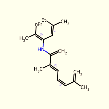 C=C(C)/C=C\C=C(/C)C(=C)NC(/C=C(/C)CC)=C(\C)CCC